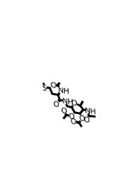 CSCCC(NC(C)=O)C(=O)NCC1OC(C)C(NC(C)=O)C(OC(C)=O)C1OC(C)=O